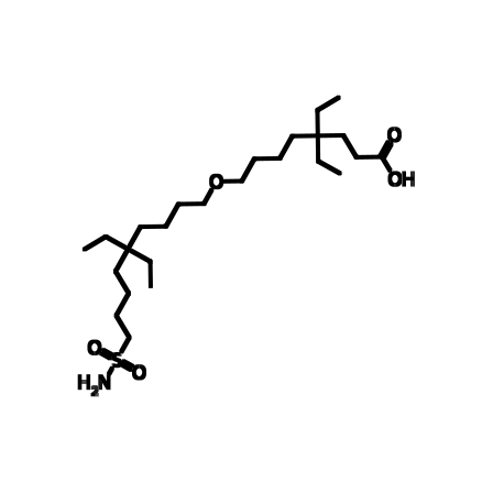 CCC(CC)(CCCCOCCCCC(CC)(CC)CCC(=O)O)CCCCS(N)(=O)=O